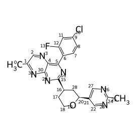 Cc1cnc2c(-c3ccc(Cl)cc3F)nc([C@@H]3CCO[C@H](c4cnc(C)nc4)C3)nc2n1